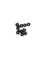 c1ccc(-c2ccc(-c3ccc(-n4c5ccccc5c5ccc(-n6c7ccccc7c7cc([Si](c8ccccc8)(c8ccccc8)c8ccccc8)ccc76)cc54)cc3)cc2)cc1